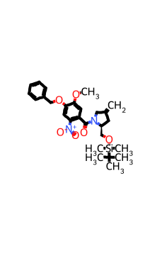 C=C1C[C@@H](CO[Si](C)(C)C(C)(C)C)N(C(=O)c2cc(OC)c(OCc3ccccc3)cc2[N+](=O)[O-])C1